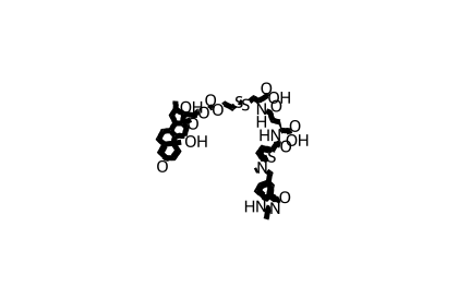 Cc1nc(=O)c2cc(CN(C)c3ccc(C(=O)N[C@@H](CCC(=O)NC(CSSCCOC(=O)OCC(=O)C4(O)C(C)CC5C6CCC7=CC(=O)C=CC7(C)C6C(O)CC54C)C(=O)O)C(=O)O)s3)ccc2[nH]1